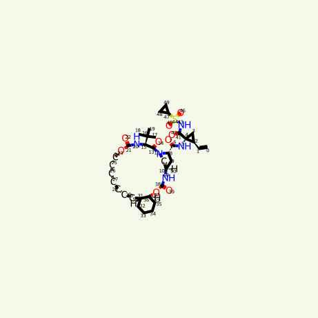 C=C[C@@H]1C[C@]1(NC(=O)[C@@H]1C[C@@H]2CN1C(=O)[C@H](C(C)(C)C)NC(=O)OCCCCCCC[C@H]1CCCC[C@@H]1OC(=O)N2)C(=O)NS(=O)(=O)C1CC1